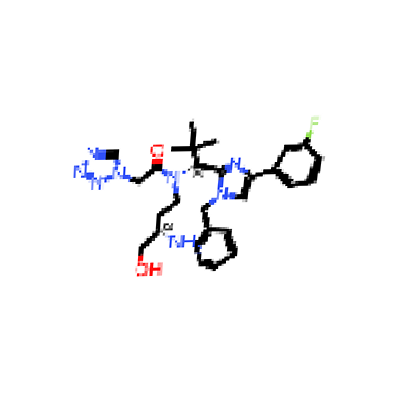 CC(C)(C)[C@H](c1nc(-c2cccc(F)c2)cn1Cc1ccccc1)N(CC[C@H](N)CO)C(=O)Cn1cnnn1